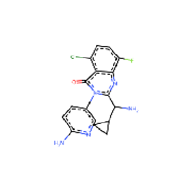 Nc1ccc(-n2c(C(N)C3CC3)nc3c(F)ccc(Cl)c3c2=O)cn1